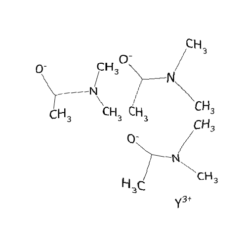 CC([O-])N(C)C.CC([O-])N(C)C.CC([O-])N(C)C.[Y+3]